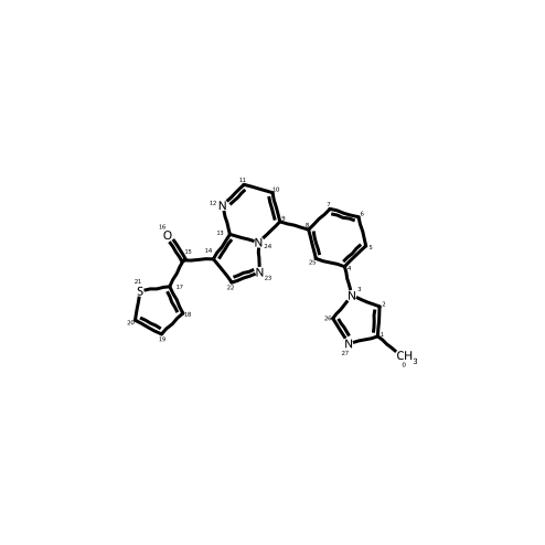 Cc1cn(-c2cccc(-c3ccnc4c(C(=O)c5cccs5)cnn34)c2)cn1